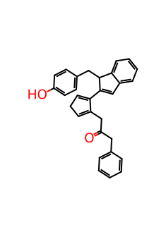 O=C(CC1=CCC=C1C1=Cc2ccccc2C1Cc1ccc(O)cc1)Cc1ccccc1